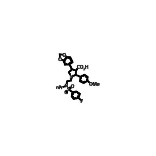 CCCN(CCN1CC(c2ccc3c(c2)OCO3)C(C(=O)O)C1c1ccc(OC)cc1)S(=O)(=O)c1ccc(F)cc1